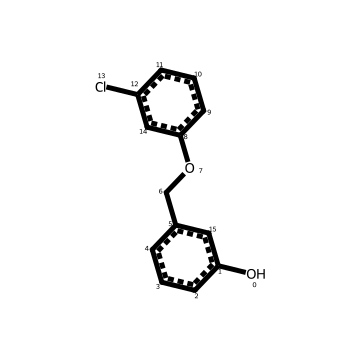 Oc1cccc(COc2cccc(Cl)c2)c1